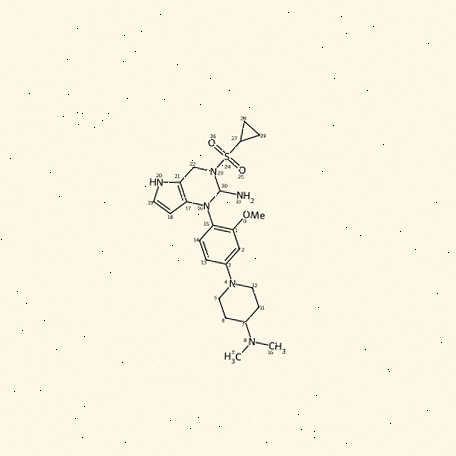 COc1cc(N2CCC(N(C)C)CC2)ccc1N1c2cc[nH]c2CN(S(=O)(=O)C2CC2)C1N